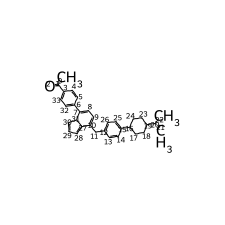 CC(=O)c1ccc(C2=CC=C(Cc3ccc(C4CCC(C(C)C)CC4)cc3)C3=CC=CC32)cc1